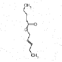 CCC=CCOC(=O)CCCC